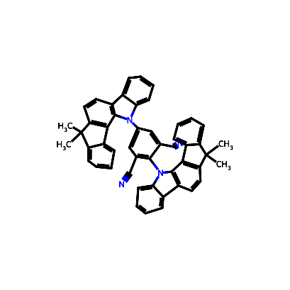 CC1(C)c2ccccc2-c2c1ccc1c3ccccc3n(-c3cc(C#N)c(-n4c5ccccc5c5ccc6c(c54)-c4ccccc4C6(C)C)c(C#N)c3)c21